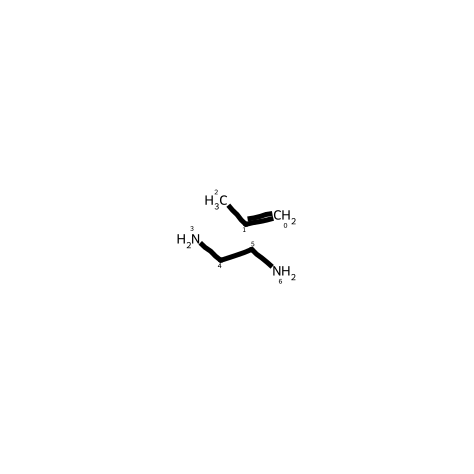 C=CC.NCCN